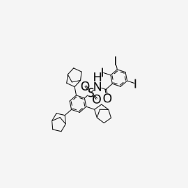 O=C(NS(=O)(=O)c1c(C2CC3CCC2C3)cc(C2CC3CCC2C3)cc1C1CC2CCC1C2)c1cc(I)cc(I)c1I